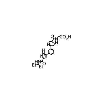 CCC(CC)NC(=O)c1cc(-c2cccc(-c3ncc(C(=O)NCC(=O)O)o3)c2)[nH]n1